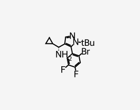 CC(C)(C)n1ncc([C@H](N)C2CC2)c1-c1cc(F)c(F)cc1Br